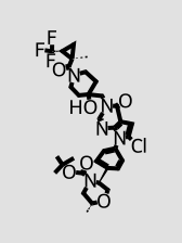 C[C@@H]1CN(C(=O)OC(C)(C)C)[C@@H](c2ccc(-n3c(Cl)cc4c(=O)n(CC5(O)CCN(C(=O)[C@]6(C)C[C@H]6C(F)(F)F)CC5)cnc43)cc2)CO1